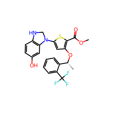 COC(=O)c1sc(N2CNc3ccc(O)cc32)cc1O[C@H](C)c1ccccc1C(F)(F)F